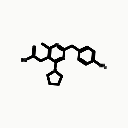 Cc1nc(Cc2ccc(N)cc2)nc(N2CCCC2)c1CC(=O)O